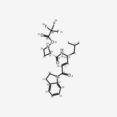 CC(C)C[C@@H](/C=C/C(=O)N1CCc2ccccc21)NC(=O)[C@@H]1CCN1OC(=O)C(F)(F)F